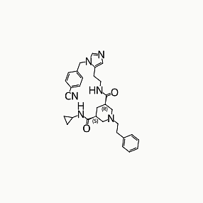 N#Cc1ccc(Cn2cncc2CCNC(=O)[C@@H]2C[C@H](C(=O)NC3CC3)CN(CCc3ccccc3)C2)cc1